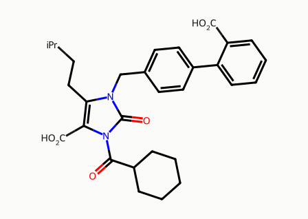 CC(C)CCc1c(C(=O)O)n(C(=O)C2CCCCC2)c(=O)n1Cc1ccc(-c2ccccc2C(=O)O)cc1